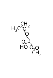 C=C(C)OCOCCC(COC(C)=O)C(=O)O